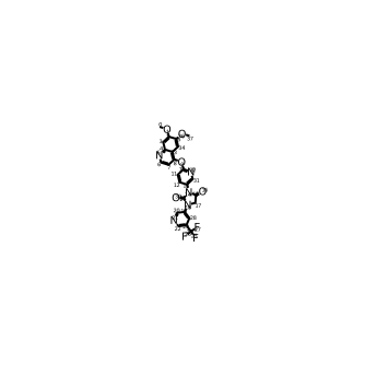 COc1cc2nccc(Oc3ccc(N4C(=O)CN(c5cncc(C(F)(F)F)c5)C4=O)cn3)c2cc1OC